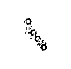 Cc1ccccc1S(=O)(=O)N1CCC(n2ncc(NC[C@H]3CCCOC3)c(Cl)c2=O)CC1